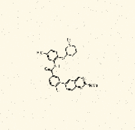 CCN1CCCC(Oc2ccc(C(F)(F)F)cc2NC(=O)c2ccc(C)c(-c3ccc4nc(NC)ncc4c3)c2)C1